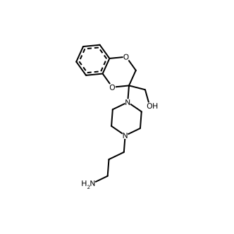 NCCCN1CCN(C2(CO)COc3ccccc3O2)CC1